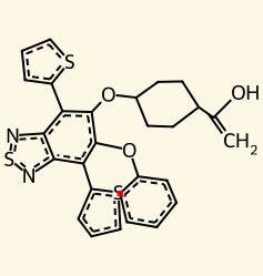 C=C(O)C1CCC(Oc2c(Oc3ccccc3)c(-c3cccs3)c3nsnc3c2-c2cccs2)CC1